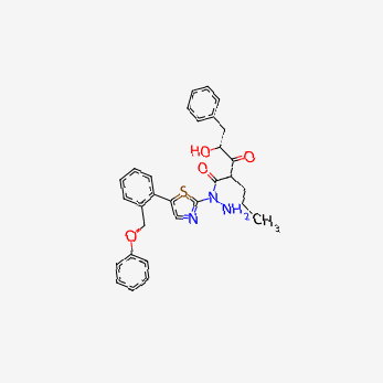 CCCC(C(=O)C(O)Cc1ccccc1)C(=O)N(N)c1ncc(-c2ccccc2COc2ccccc2)s1